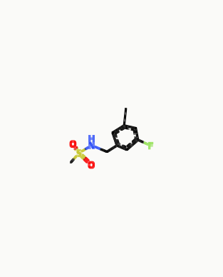 Cc1cc(F)cc(CNS(C)(=O)=O)c1